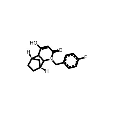 O=C1C=C(O)C2C([C@@H]3CC[C@H]2C3)N1Cc1ccc(F)cc1